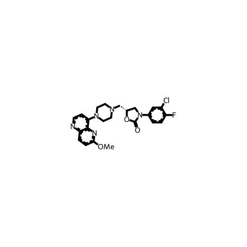 COc1ccc2nccc(N3CCN(C[C@@H]4CN(c5ccc(F)c(Cl)c5)C(=O)O4)CC3)c2n1